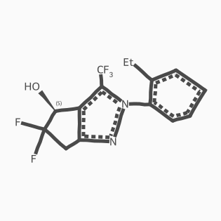 CCc1ccccc1-n1nc2c(c1C(F)(F)F)[C@H](O)C(F)(F)C2